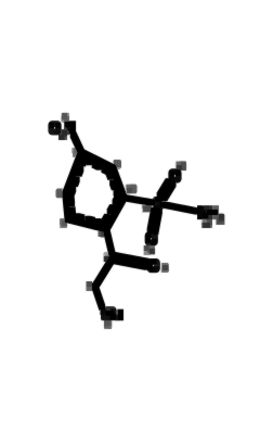 CC(C)(C)CC(=O)c1ccc([N+](=O)[O-])cc1S(N)(=O)=O